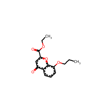 CCCOc1cccc2c(=O)cc(C(=O)OCC)oc12